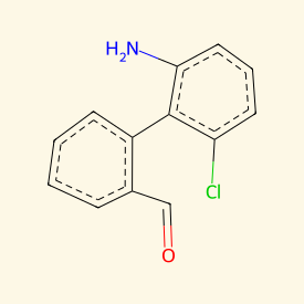 Nc1cccc(Cl)c1-c1ccccc1C=O